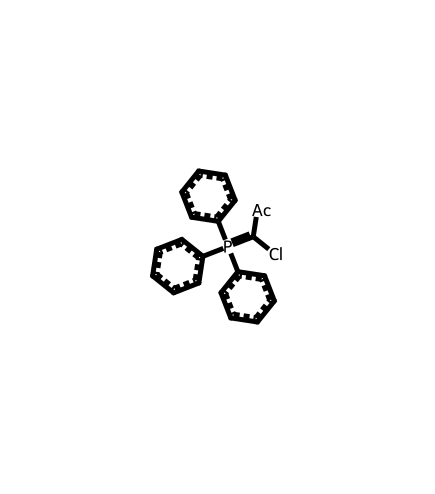 CC(=O)C(Cl)=P(c1ccccc1)(c1ccccc1)c1ccccc1